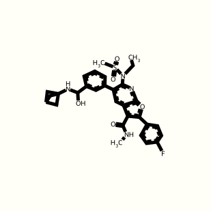 CCN(c1nc2oc(-c3ccc(F)cc3)c(C(=O)NC)c2cc1-c1cccc(C(O)NC23CC(C2)C3)c1)S(C)(=O)=O